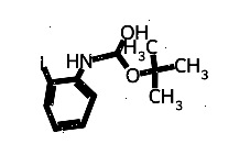 CC(C)(C)OC(O)Nc1ccccc1I